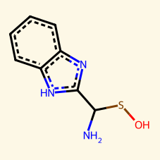 NC(SO)c1nc2ccccc2[nH]1